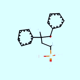 CCC(CC(C)(C(=O)c1ccccc1)c1ccccc1)P(=O)(O)O